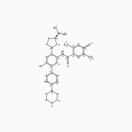 CCN(CC)[C@@H]1CCN(c2cc(F)c(-c3cnc(N4CCOCC4)nc3)cc2NC(=O)c2cn(C)c(=O)cc2C(F)(F)F)C1